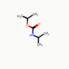 CC(C)NC(=O)OC(C)C